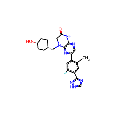 Cc1cc(-c2nc[nH]n2)c(F)cc1-c1cnc2c(n1)N(C[C@H]1CC[C@@H](O)CC1)CC(=O)N2